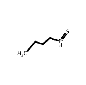 CCCC[PH]=S